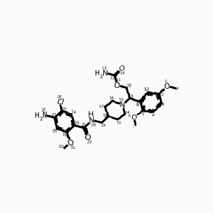 COc1ccc(OC)c(C(COC(N)=O)N2CCC(CNC(=O)c3cc(Cl)c(N)cc3OC)CC2)c1